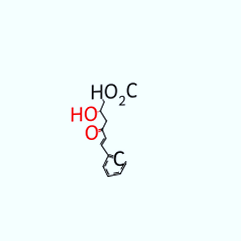 O=C(O)C[C@@H](O)CC(=O)/C=C/c1ccccc1